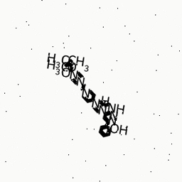 CC(C)(C)OC(=O)N1CCN(CCN2CCC(N3CCN4c5cc(-c6ccccc6O)nnc5NC[C@H]4C3)CC2)CC1